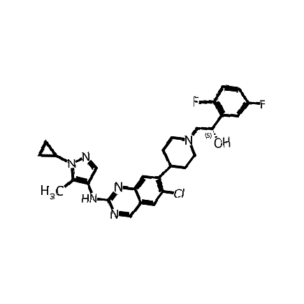 Cc1c(Nc2ncc3cc(Cl)c(C4CCN(C[C@@H](O)c5cc(F)ccc5F)CC4)cc3n2)cnn1C1CC1